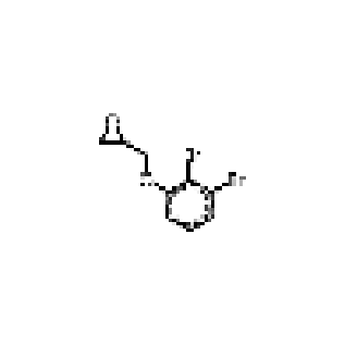 Brc1cccc(OCC2CO2)c1Br